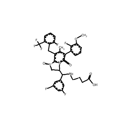 COc1cccc(-c2c(C)c(Cc3c(F)cccc3C(F)(F)F)c3n(c2=O)C(C(NCCCC(=O)O)c2cc(F)cc(F)c2)C[S+]3[O-])c1F